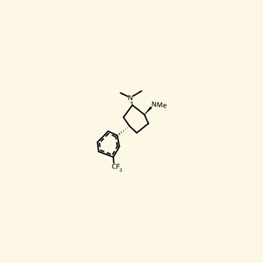 CN[C@H]1CC[C@H](c2cccc(C(F)(F)F)c2)C[C@@H]1N(C)C